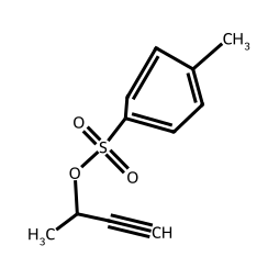 C#CC(C)OS(=O)(=O)c1ccc(C)cc1